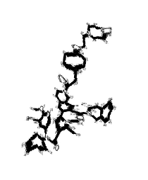 COc1ncc(N(C(=O)c2cc(-c3cc4c(cc3C(=O)N3Cc5ccccc5C[C@H]3C)CN(C(=O)Cc3ccc(OCCN5CCOCC5)cc3)CC4)n(C)c2C)c2ccccc2)cc1F